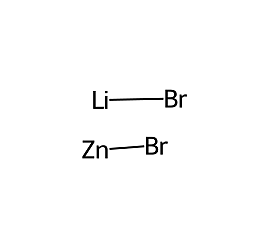 [Li][Br].[Zn][Br]